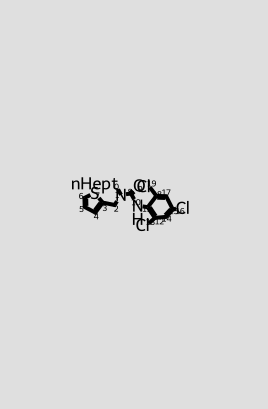 CCCCCCCN(Cc1cccs1)C(=O)Nc1c(Cl)cc(Cl)cc1Cl